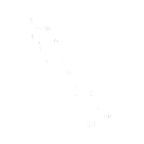 CC(CO)Cc1ccc(COc2ccc(C=C3SC(=S)NC3=O)cc2)cc1